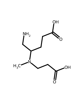 CN(CCC(=O)O)C(CN)CCC(=O)O